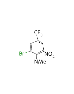 CNc1c(Br)cc(C(F)(F)F)cc1[N+](=O)[O-]